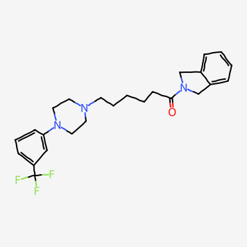 O=C(CCCCCN1CCN(c2cccc(C(F)(F)F)c2)CC1)N1Cc2ccccc2C1